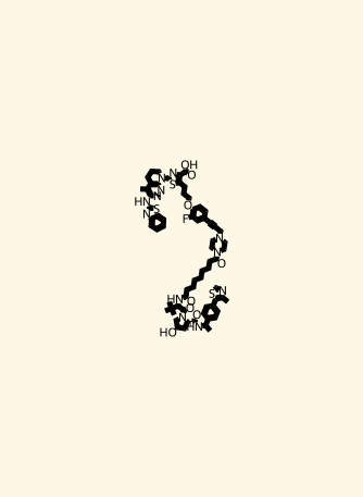 Cc1ncsc1-c1ccc(C(C)NC(=O)[C@@H]2C[C@@H](O)CN2C(=O)C(NC(=O)CCCCCCCC(=O)N2CCN(CC#Cc3ccc(OCCCc4sc(N5CCCc6c5nnc(Nc5nc7ccccc7s5)c6C)nc4C(=O)O)c(F)c3)CC2)C(C)(C)C)cc1